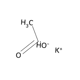 C[C]=O.[K+].[OH-]